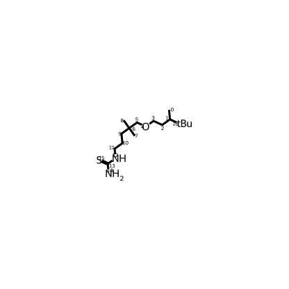 CC(CCOCC(C)(C)CCCNC(N)=S)C(C)(C)C